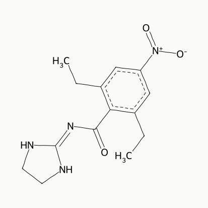 CCc1cc([N+](=O)[O-])cc(CC)c1C(=O)N=C1NCCN1